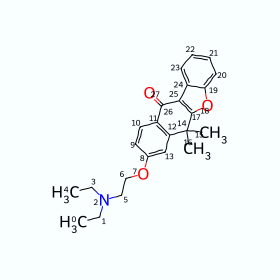 CCN(CC)CCOc1ccc2c(c1)C(C)(C)c1oc3ccccc3c1C2=O